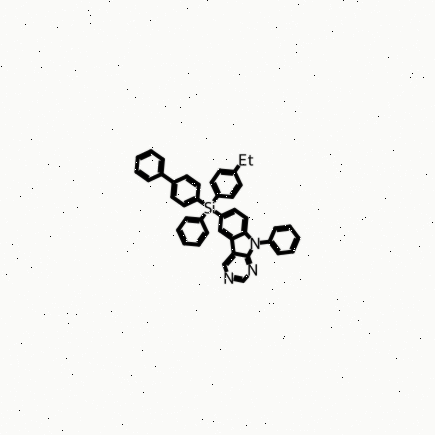 CCc1ccc([Si](c2ccccc2)(c2ccc(-c3ccccc3)cc2)c2ccc3c(c2)c2cncnc2n3-c2ccccc2)cc1